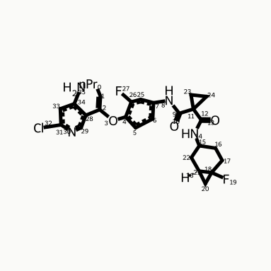 CCC/C=C(/Oc1ccc(NC(=O)C2(C(=O)NC3CCC4(F)C[C@H]4C3)CC2)cc1F)c1cnc(Cl)cc1N